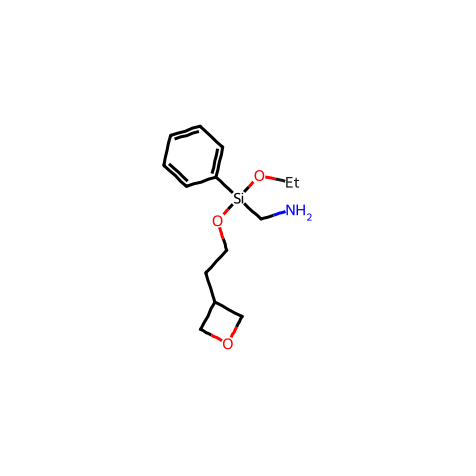 CCO[Si](CN)(OCCC1COC1)c1ccccc1